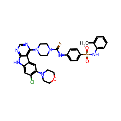 Cc1ccccc1NS(=O)(=O)c1ccc(NC(=S)N2CCN(c3ncnc4[nH]c5cc(Cl)c(N6CCOCC6)cc5c34)CC2)cc1